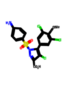 COc1c(Cl)cc(-c2c(Cl)c(C(=O)O)nn2S(=O)(=O)c2ccc(N)cc2)cc1Cl